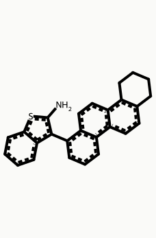 Nc1sc2ccccc2c1-c1cccc2c1ccc1c3c(ccc12)CCCC3